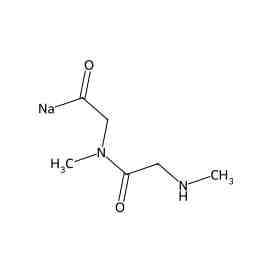 CNCC(=O)N(C)C[C](=O)[Na]